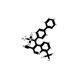 N#Cc1cnc2c(C(F)(F)F)cccc2c1C(c1ccc(-c2ccccc2)cc1)S(N)(=O)=O